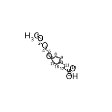 COCOCCOc1ccc(CCC(=O)O)cc1